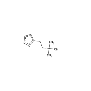 CC(C)(O)CCc1cccs1